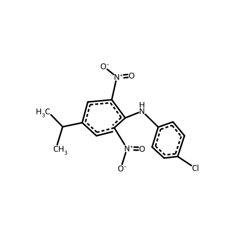 CC(C)c1cc([N+](=O)[O-])c(Nc2ccc(Cl)cc2)c([N+](=O)[O-])c1